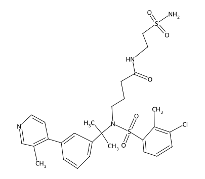 Cc1cnccc1-c1cccc(C(C)(C)N(CCCC(=O)NCCS(N)(=O)=O)S(=O)(=O)c2cccc(Cl)c2C)c1